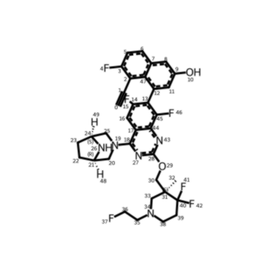 C#Cc1c(F)ccc2cc(O)cc(-c3c(F)cc4c(N5C[C@H]6CC[C@@H](C5)N6)nc(OC[C@]5(C)CN(CCF)CCC5(F)F)nc4c3F)c12